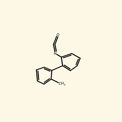 Cc1ccccc1-c1ccccc1N=C=O